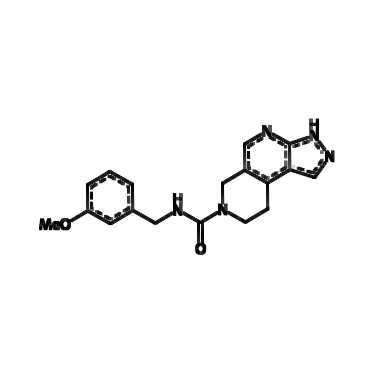 COc1cccc(CNC(=O)N2CCc3c(cnc4[nH]ncc34)C2)c1